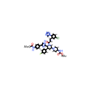 COC(=O)Nc1ccc(-c2c[nH]c(C3C(c4ccc(F)cc4)CC(N4CCC(NC(=O)OC(C)(C)C)CC4)CN3C(=O)/C=C/c3cc(Cl)ccc3-n3cnnn3)n2)cc1